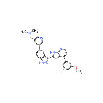 COc1cc(F)cc(-c2ccnc3[nH]c(-c4n[nH]c5ccc(-c6cncc(CN(C)C)c6)cc45)cc23)c1